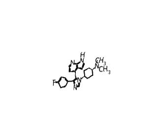 CN(C)[C@H]1CC[C@@H](n2cnc(C3=CC=C(F)CC3)c2-c2ccnc3[nH]ccc23)CC1